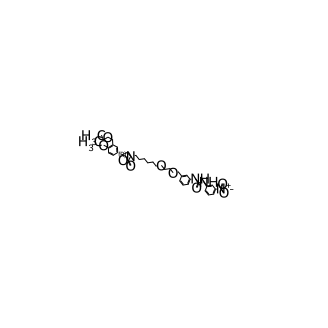 CC1(C)OCc2cc([C@@H]3CN(CCCCCCOCCOCc4cccc(NC(=O)Nc5cccc([N+](=O)[O-])c5)c4)C(=O)O3)ccc2O1